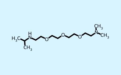 CC(C)NCCOCCOCCOCCN(C)C